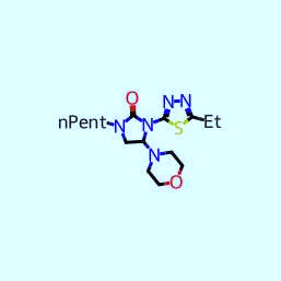 CCCCCN1CC(N2CCOCC2)N(c2nnc(CC)s2)C1=O